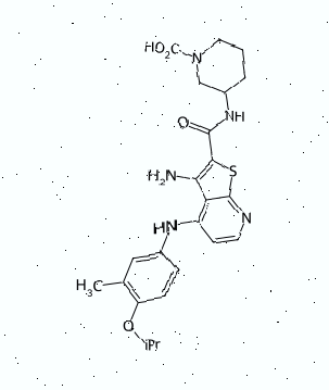 Cc1cc(Nc2ccnc3sc(C(=O)NC4CCCN(C(=O)O)C4)c(N)c23)ccc1OC(C)C